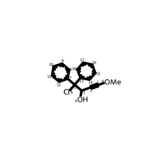 COC#CC(O)C(Cl)(c1ccccc1)c1ccccc1